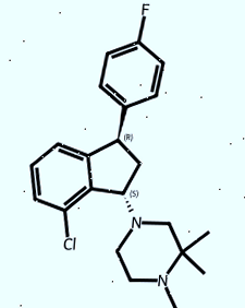 CN1CCN([C@H]2C[C@H](c3ccc(F)cc3)c3cccc(Cl)c32)CC1(C)C